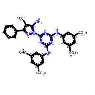 Cc1c(-c2ccccc2)nn(-c2nc(Nc3cc(C=O)cc(C(=O)O)c3)nc(Nc3cc(C(=O)O)cc(C(=O)O)c3)n2)c1N